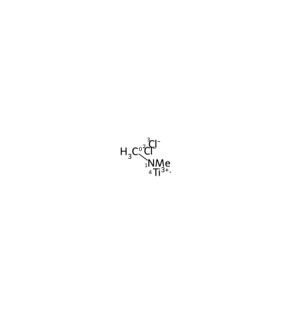 C[N-]C.[Cl-].[Cl-].[Ti+3]